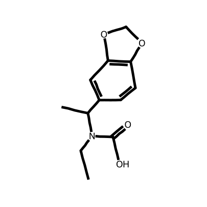 CCN(C(=O)O)C(C)c1ccc2c(c1)OCO2